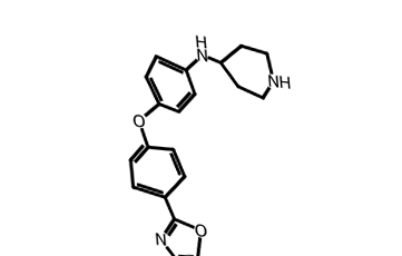 c1coc(-c2ccc(Oc3ccc(NC4CCNCC4)cc3)cc2)n1